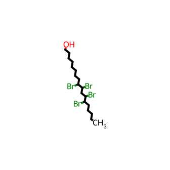 CCCCCC(Br)C(Br)CC(Br)C(Br)CCCCCCCCO